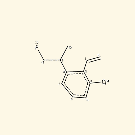 C=Cc1c(Cl)cccc1[C](C)CF